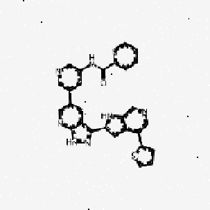 O=C(Nc1cncc(-c2cnc3[nH]nc(-c4cc5c(-c6cccs6)cncc5[nH]4)c3c2)c1)c1ccccc1